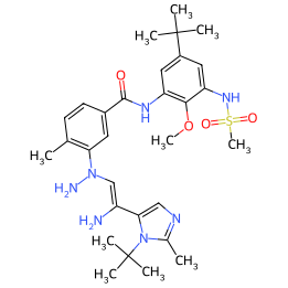 COc1c(NC(=O)c2ccc(C)c(N(N)/C=C(\N)c3cnc(C)n3C(C)(C)C)c2)cc(C(C)(C)C)cc1NS(C)(=O)=O